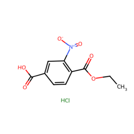 CCOC(=O)c1ccc(C(=O)O)cc1[N+](=O)[O-].Cl